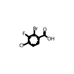 O=C(O)c1ccc(Cl)c(F)c1Br